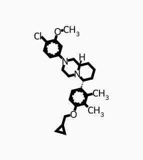 COc1cc(N2CCN3[C@@H](CCC[C@@H]3c3ccc(OCC4CC4)c(C)c3C)C2)ccc1Cl